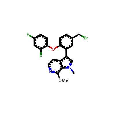 COc1nccc2c(-c3cc(CBr)ccc3Oc3ccc(F)cc3F)cn(C)c12